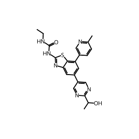 CCNC(=O)Nc1nc2cc(-c3cnc(C(C)O)nc3)cc(-c3ccc(C)nc3)c2s1